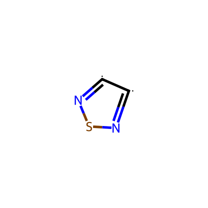 [c]1[c]nsn1